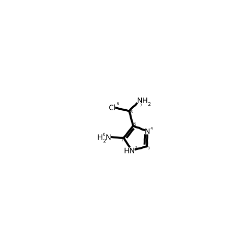 Nc1[nH]cnc1C(N)Cl